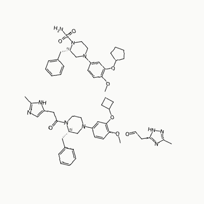 COc1ccc(N2CCN(C(=O)Cc3cnc(C)[nH]3)[C@@H](Cc3ccccc3)C2)cc1OC1CCC1.COc1ccc(N2CCN(S(N)(=O)=O)[C@@H](Cc3ccccc3)C2)cc1OC1CCCC1.Cc1n[nH]c(CC=O)n1